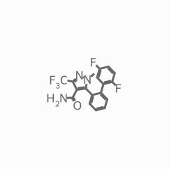 Cn1nc(C(F)(F)F)c(C(N)=O)c1-c1ccccc1-c1cc(F)ccc1F